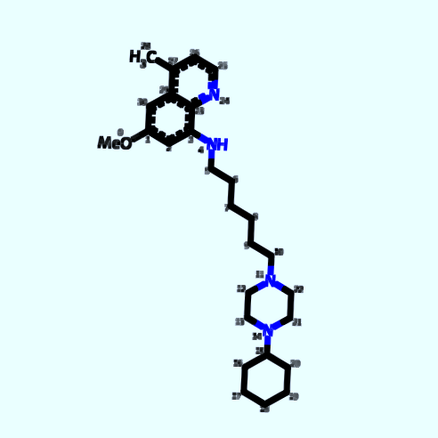 COc1cc(NCCCCCCN2CCN(C3CCCCC3)CC2)c2nccc(C)c2c1